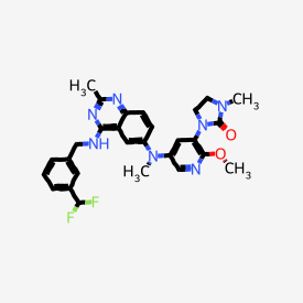 COc1ncc(N(C)c2ccc3nc(C)nc(NCc4cccc(C(F)F)c4)c3c2)cc1N1CCN(C)C1=O